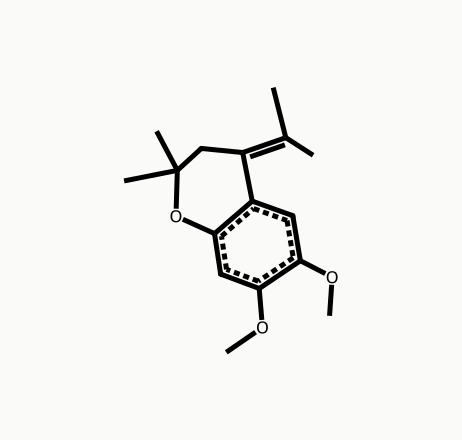 COc1cc2c(cc1OC)C(=C(C)C)CC(C)(C)O2